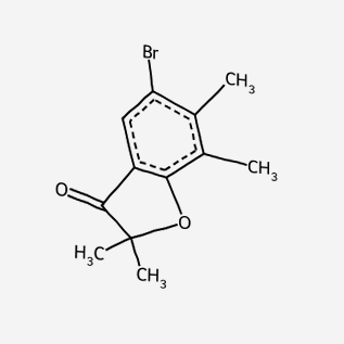 Cc1c(Br)cc2c(c1C)OC(C)(C)C2=O